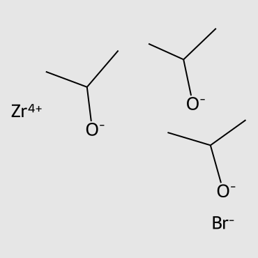 CC(C)[O-].CC(C)[O-].CC(C)[O-].[Br-].[Zr+4]